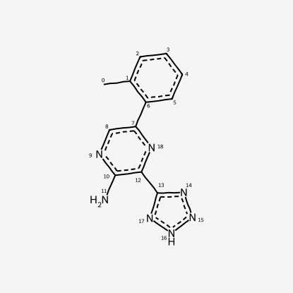 Cc1ccccc1-c1cnc(N)c(-c2nn[nH]n2)n1